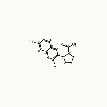 O=C(O)N1CCCC1c1cc2ccc(F)cc2nc1Cl